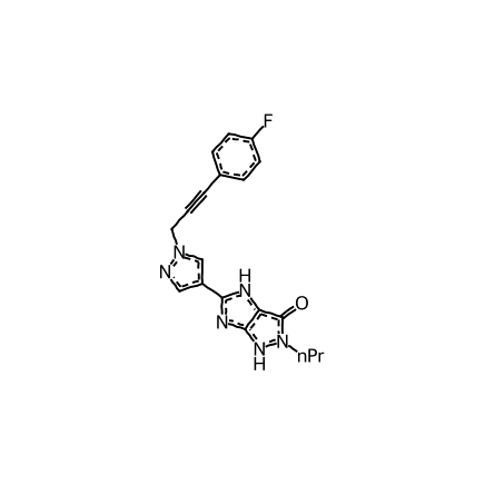 CCCn1[nH]c2nc(-c3cnn(CC#Cc4ccc(F)cc4)c3)[nH]c2c1=O